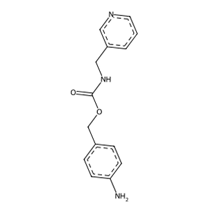 Nc1ccc(COC(=O)NCc2cccnc2)cc1